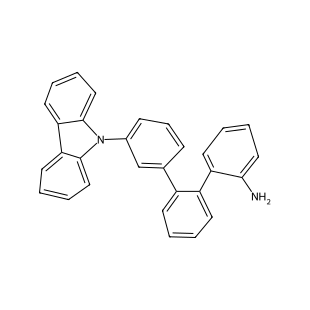 Nc1ccccc1-c1ccccc1-c1cccc(-n2c3ccccc3c3ccccc32)c1